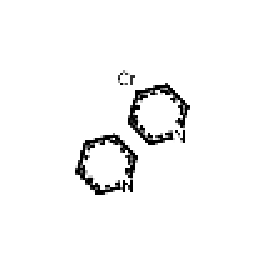 [Cr].c1ccncc1.c1ccncc1